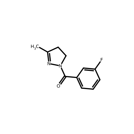 CC1=NN(C(=O)c2cccc(F)c2)CC1